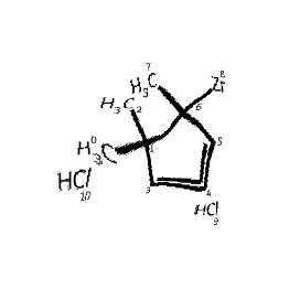 CC1(C)C=C=C[C]1(C)[Zr].Cl.Cl